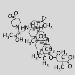 C[C@@H](O)[C@@H](CN[C@]12CC[C@@H](C3(C)CC3)[C@@H]1[C@H]1CC[C@@H]3[C@@]4(C)CC[C@H](OC(=O)CC(C)(C)C(=O)O)C(C)(C)[C@@H]4CC[C@@]3(C)[C@]1(C)CC2)N1CCS(=O)(=O)CC1